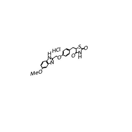 COc1ccc2[nH]c(COc3ccc(CC4SC(=O)NC4=O)cc3)nc2c1.Cl